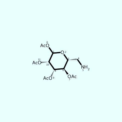 CC(=O)OC1O[C@H](CN)[C@@H](OC(C)=O)[C@H](OC(C)=O)[C@@H]1OC(C)=O